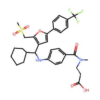 CN(CCC(=O)O)C(=O)c1ccc(NC(c2cc(-c3ccc(C(F)(F)F)cc3)oc2CS(C)(=O)=O)C2CCCCC2)cc1